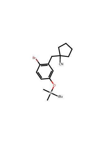 CC(C)(C)[Si](C)(C)Oc1ccc(Br)c(CC2(C#N)CCCC2)c1